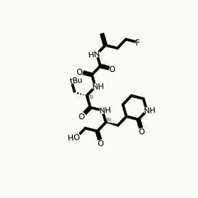 C=C(CCF)NC(=O)C(=O)N[C@@H](CC(C)(C)C)C(=O)N[C@@H](CC1CCCNC1=O)C(=O)CO